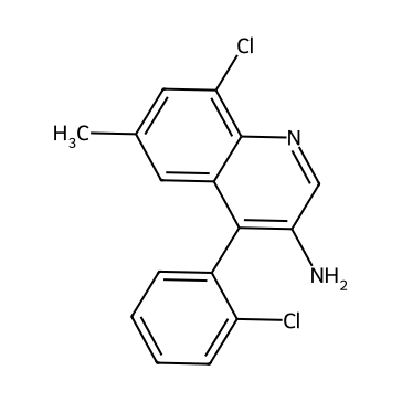 Cc1cc(Cl)c2ncc(N)c(-c3ccccc3Cl)c2c1